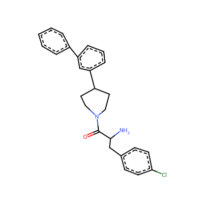 NC(Cc1ccc(Cl)cc1)C(=O)N1CCC(c2cccc(-c3ccccc3)c2)CC1